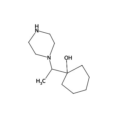 CC(N1CCNCC1)C1(O)CCCCC1